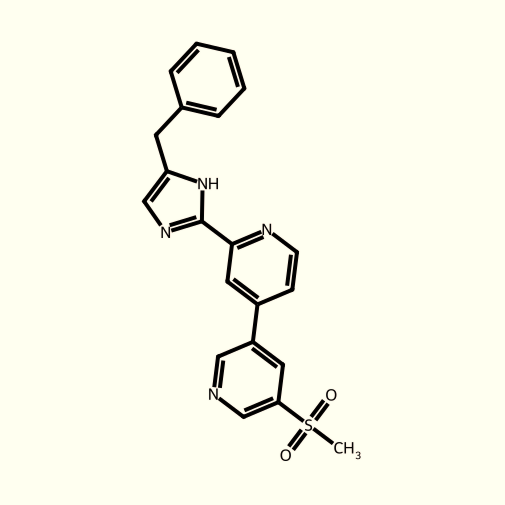 CS(=O)(=O)c1cncc(-c2ccnc(-c3ncc(Cc4ccccc4)[nH]3)c2)c1